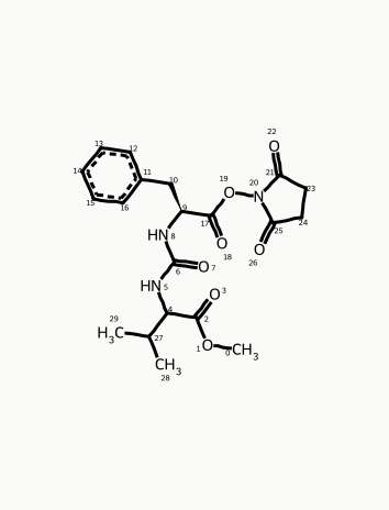 COC(=O)C(NC(=O)N[C@@H](Cc1ccccc1)C(=O)ON1C(=O)CCC1=O)C(C)C